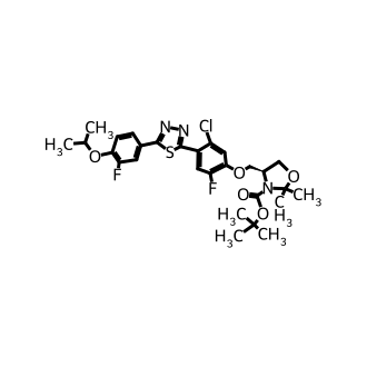 CC(C)Oc1ccc(-c2nnc(-c3cc(F)c(OC[C@H]4COC(C)(C)N4C(=O)OC(C)(C)C)cc3Cl)s2)cc1F